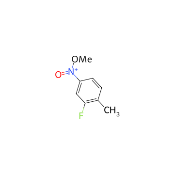 CO[N+](=O)c1ccc(C)c(F)c1